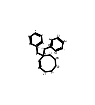 C1=CC(Cc2ccccc2)(Cc2ccccc2)CCCCC1